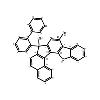 OC1(c2ccccc2-c2ccccc2)c2ccc3ccccc3c2-c2c1cc(Br)c1c2oc2ccccc21